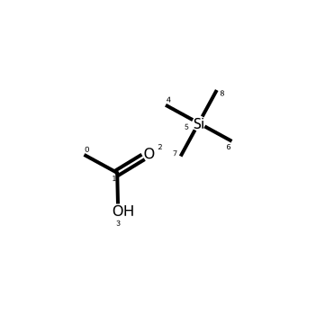 CC(=O)O.C[Si](C)(C)C